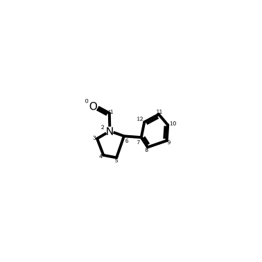 O=[C]N1CCCC1c1ccccc1